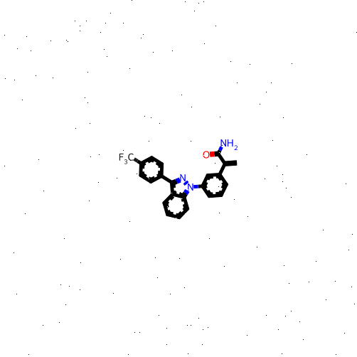 C=C(C(N)=O)c1cccc(-n2nc(-c3ccc(C(F)(F)F)cc3)c3ccccc32)c1